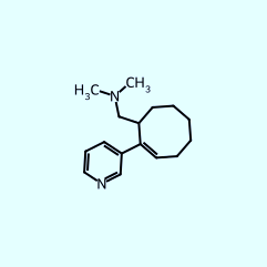 CN(C)CC1CCCCCC=C1c1cccnc1